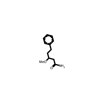 COC(CCc1ccccc1)CC(N)=O